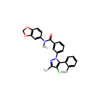 COc1ccccc1-c1c(Cl)c(C(F)(F)F)nn1-c1cccc(C(=O)N(C)c2ccc3c(c2)OCO3)c1